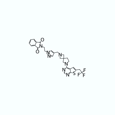 O=C1c2ccccc2C(=O)N1CCn1cc(CN2CC3(CCN(c4ncnc5sc(CC(F)(F)F)cc45)C3)C2)cn1